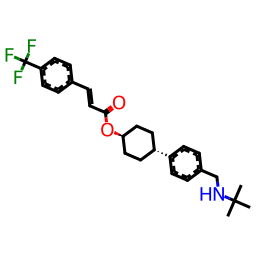 CC(C)(C)NCc1ccc([C@H]2CC[C@H](OC(=O)/C=C/c3ccc(C(F)(F)F)cc3)CC2)cc1